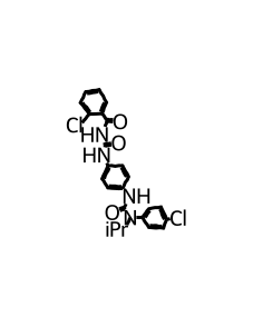 CC(C)N(C(=O)Nc1ccc(NC(=O)NC(=O)c2ccccc2Cl)cc1)c1ccc(Cl)cc1